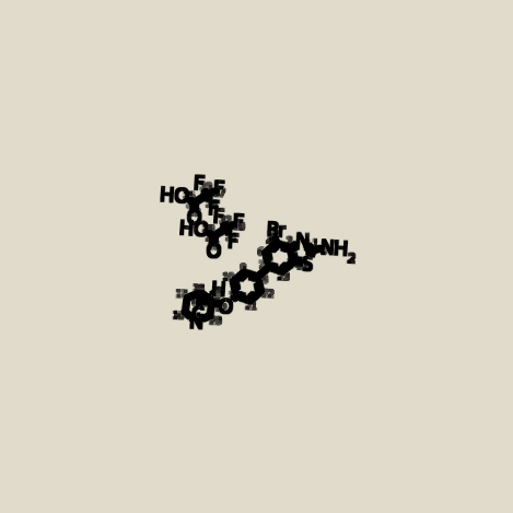 Nc1nc2c(Br)cc(-c3ccc(O[C@H]4CN5CCC4CC5)cc3)cc2s1.O=C(O)C(F)(F)F.O=C(O)C(F)(F)F